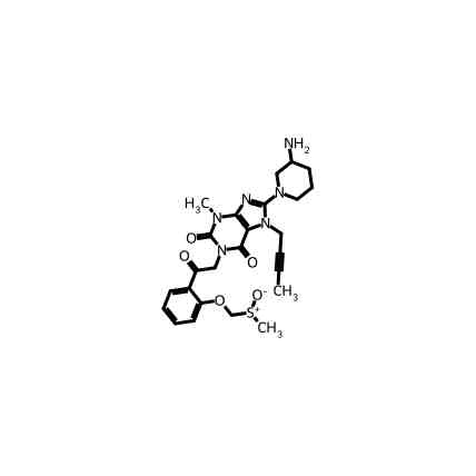 CC#CCn1c(N2CCCC(N)C2)nc2c1c(=O)n(CC(=O)c1ccccc1OC[S+](C)[O-])c(=O)n2C